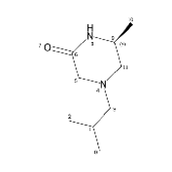 CC(C)CN1CC(=O)N[C@@H](C)C1